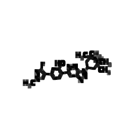 Cn1cc(-c2ccc(-c3cc4nnn(C5CC(C)(C)NC(C)(C)C5)c4nn3)c(O)c2)c(F)n1